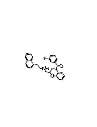 O=C(c1cccc(F)c1)N1CC(CNCCc2cccc3ccccc23)Oc2ccccc21